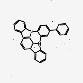 C1=CC2c3ccccc3N3c4cc(-c5ccccc5)ccc4-n4c(c1c1ccccc14)C23